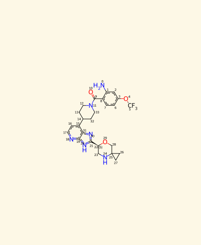 Nc1cc(OC(F)(F)F)ccc1C(=O)N1CCC(c2ccnc3[nH]c([C@@H]4CNC5(CC5)CO4)nc23)CC1